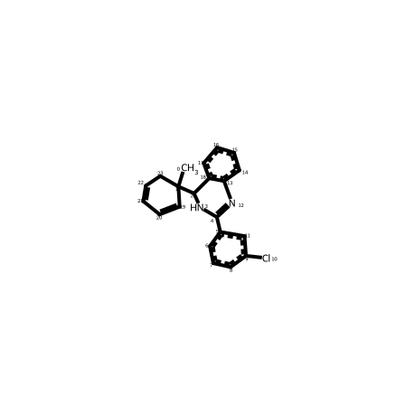 CC1(C2NC(c3cccc(Cl)c3)=Nc3ccccc32)C=CC=CC1